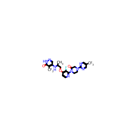 CC(COc1ccnc(N2CCN(c3ncc(C(F)(F)F)cn3)CC2=O)c1F)Nc1cn[nH]c(=O)c1C(F)(F)F